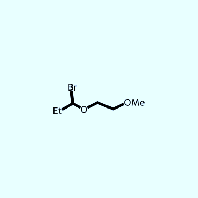 CCC(Br)OCCOC